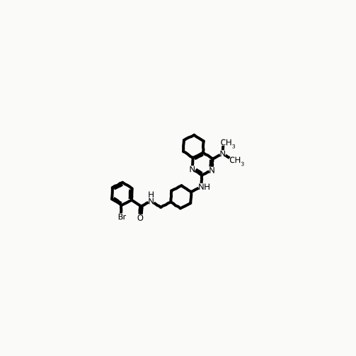 CN(C)c1nc(NC2CCC(CNC(=O)c3ccccc3Br)CC2)nc2c1CCCC2